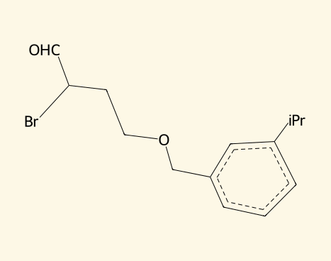 CC(C)c1cccc(COCCC(Br)C=O)c1